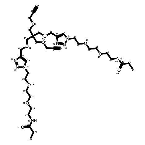 C#CCOCC(COCC#C)(COCc1cn(CCOCCOCCNC(=O)CC)nn1)COCc1cn(CCOCCOCCNC(=O)CC)nn1